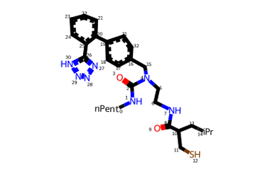 CCCCCNC(=O)N(CCNC(=O)C(CS)CC(C)C)Cc1ccc(-c2ccccc2-c2nnn[nH]2)cc1